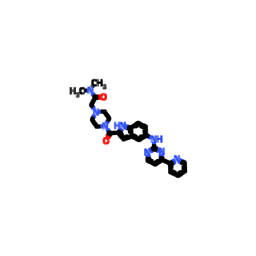 CN(C)C(=O)CN1CCN(C(=O)c2cc3cc(Nc4nccc(-c5ccccn5)n4)ccc3[nH]2)CC1